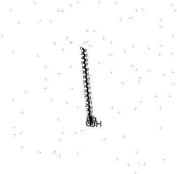 CCCCCCCCCCCCCCCCCCCCCCCCCCCCCCOS(=O)(=O)O